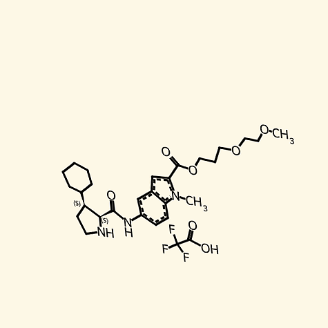 COCCOCCCOC(=O)c1cc2cc(NC(=O)[C@H]3NCC[C@H]3C3CCCCC3)ccc2n1C.O=C(O)C(F)(F)F